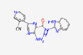 N#Cc1cnccc1-c1cnc(N)c(C(=O)Nc2nc3ccccc3[nH]2)n1